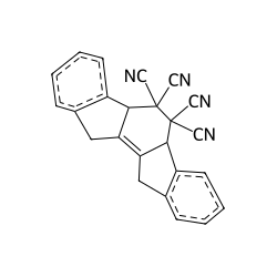 N#CC1(C#N)C2C(=C3Cc4ccccc4C3C1(C#N)C#N)Cc1ccccc12